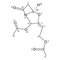 CC(=O)OC/C=C1/O[C@@H]2CC(=O)N2C1OC(C)=O